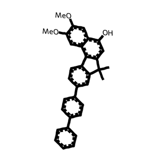 COc1cc2c(O)cc3c(c2cc1OC)-c1ccc(-c2ccc(-c4ccccc4)cc2)cc1C3(C)C